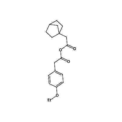 CCOc1ccc(CC(=O)OC(=O)CC23CCC(CC2)C3)cc1